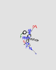 C=CC(=O)Nc1cc(Nc2cc(-n3c(CCCO)nnc3-c3ccc(F)cc3)ccn2)c(OC)cc1N1CCC(N(C)C)CC1